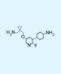 NCC1(COc2cnc(F)c(-c3ccc(N)cc3)c2)CC1